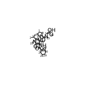 CC(C)C(CN1CCCC1C(=O)N(C)CC(=O)O)N(C)C(=O)[C@@H](NC(=O)C1CCCCN1C)C(C)(C)C